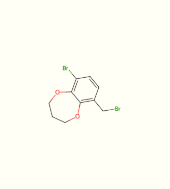 BrCc1ccc(Br)c2c1OCCCO2